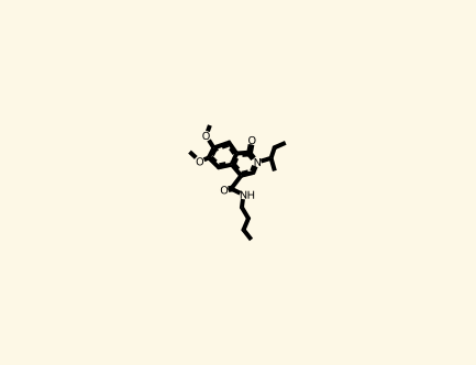 CCCCNC(=O)c1cn(C(C)CC)c(=O)c2cc(OC)c(OC)cc12